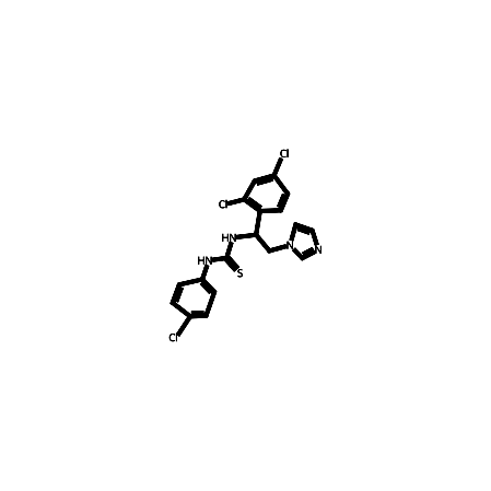 S=C(Nc1ccc(Cl)cc1)NC(Cn1ccnc1)c1ccc(Cl)cc1Cl